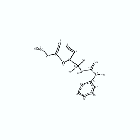 C=CC(OC(=O)CCCCCCCCCCC)C(C)(C)SC(=S)N(C)c1ccncc1